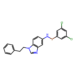 Clc1cc(Cl)cc(SNc2ccc3c(c2)ncn3CCc2ccccc2)c1